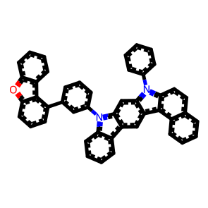 c1ccc(-n2c3cc4c(cc3c3c5ccccc5ccc32)c2ccccc2n4-c2cccc(-c3cccc4oc5ccccc5c34)c2)cc1